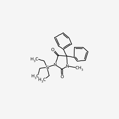 CC[Si](CC)(CC)N1C(=O)N(C)C(c2ccccc2)(c2ccccc2)C1=O